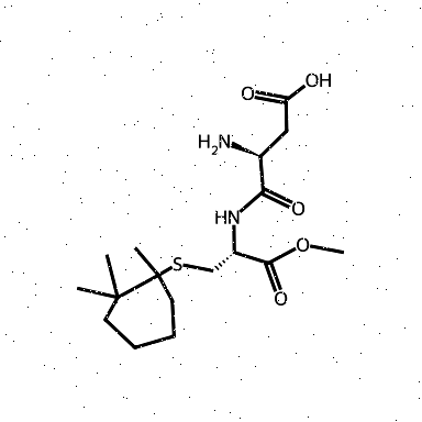 COC(=O)[C@H](CSC1(C)CCCCC1(C)C)NC(=O)[C@@H](N)CC(=O)O